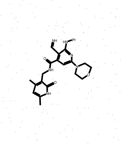 Cc1cc(C)c(CNC(=O)c2cc(N3CCOCC3)nc(NC(C)C)c2C=N)c(=O)[nH]1